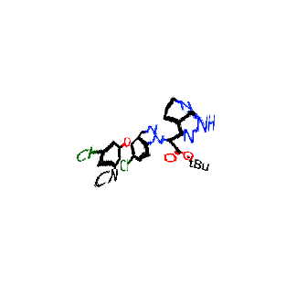 CC(C)(C)OC(=O)C(c1n[nH]c2ncccc12)n1ncc2c(Oc3cc(Cl)cc(C#N)c3)c(Cl)ccc21